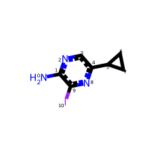 Nc1ncc(C2CC2)nc1I